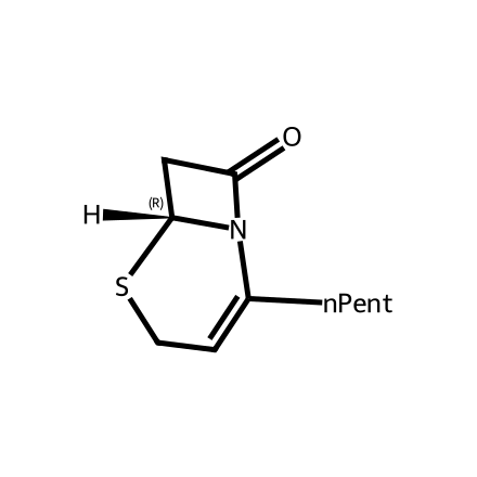 CCCCCC1=CCS[C@@H]2CC(=O)N12